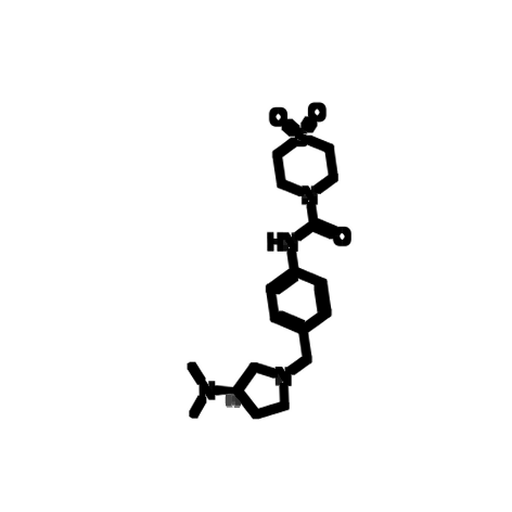 CN(C)[C@@H]1CCN(Cc2ccc(NC(=O)N3CCS(=O)(=O)CC3)cc2)C1